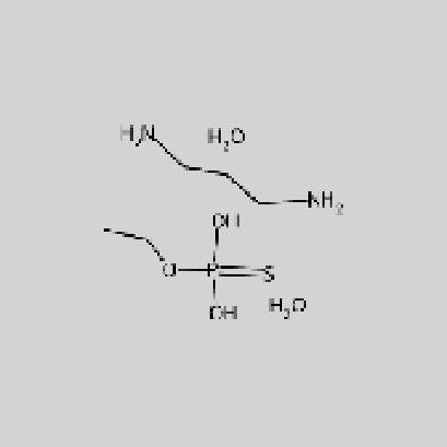 CCOP(O)(O)=S.NCCCN.O.O